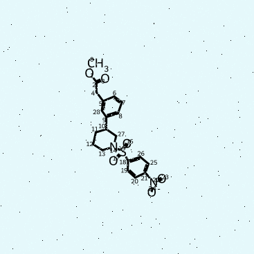 COC(=O)Cc1cccc(C2CCCN(S(=O)(=O)c3ccc([N+](=O)[O-])cc3)C2)c1